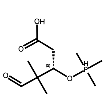 CC(C)(C=O)[C@H](CC(=O)O)O[PH](C)(C)C